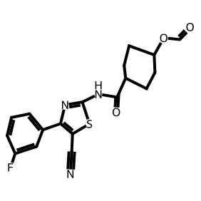 N#Cc1sc(NC(=O)C2CCC(OC=O)CC2)nc1-c1cccc(F)c1